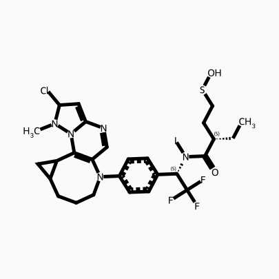 CC[C@@H](CCSO)C(=O)N(I)[C@@H](c1ccc(N2CCCC3CC3C3=C2C=NC2=CC(Cl)N(C)N23)cc1)C(F)(F)F